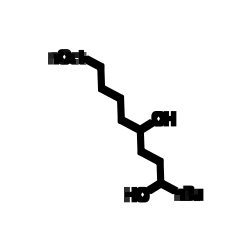 CCCCCCCCCCCCC(O)CCC(O)CCCC